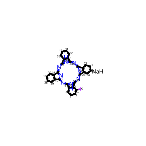 Ic1cccc2c3nc4nc(nc5[nH]c(nc6nc(nc([nH]3)c12)-c1ccccc1-6)c1ccccc51)-c1ccccc1-4.[NaH]